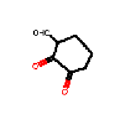 O=CC1CCCC(=O)C1=O